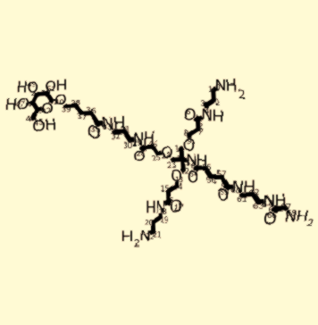 NCCCNC(=O)CCOCC(COCCC(=O)NCCCN)(COCCC(=O)NCCCNC(=O)CCCCO[C@H]1OC(CO)[C@@H](O)C(O)C1O)NC(=O)CCCC(=O)NCCCNC(=O)CN